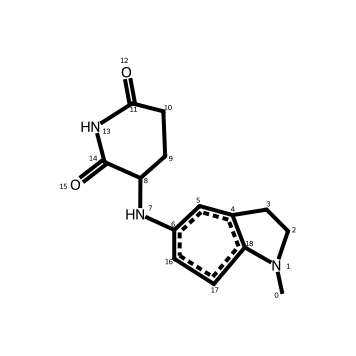 CN1CCc2cc(NC3CCC(=O)NC3=O)ccc21